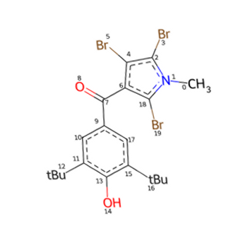 Cn1c(Br)c(Br)c(C(=O)c2cc(C(C)(C)C)c(O)c(C(C)(C)C)c2)c1Br